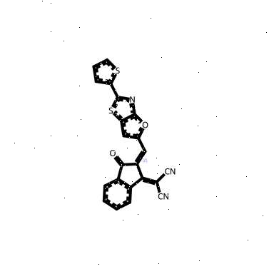 N#CC(C#N)=C1/C(=C/c2cc3sc(-c4cccs4)nc3o2)C(=O)c2ccccc21